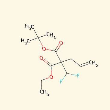 C=CCC(C(=O)OCC)(C(=O)OC(C)(C)C)C(F)F